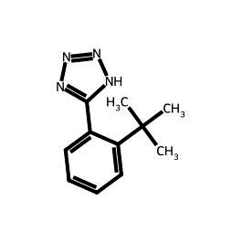 CC(C)(C)c1ccccc1-c1nnn[nH]1